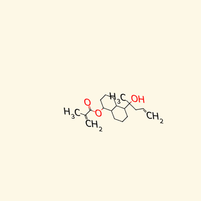 C=CCC(C)(O)C1CCCC2C(OC(=O)C(=C)C)CCCC21